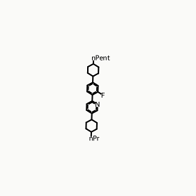 CCCCCC1CCC(c2ccc(-c3ccc(C4CCC(CCC)CC4)cn3)c(F)c2)CC1